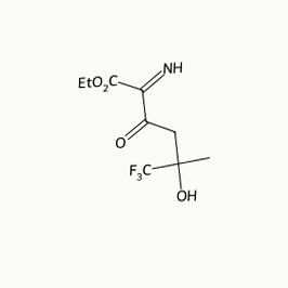 CCOC(=O)C(=N)C(=O)CC(C)(O)C(F)(F)F